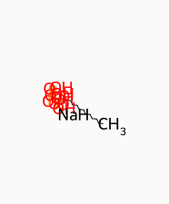 CCCCCCCCCCCC(=O)OP(=O)(O)OP(=O)(O)OP(=O)(O)O.[NaH]